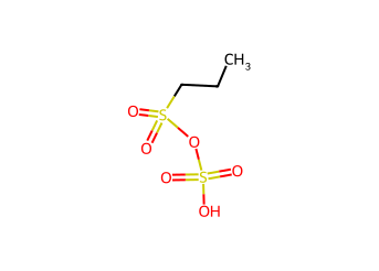 CCCS(=O)(=O)OS(=O)(=O)O